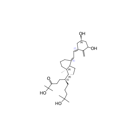 C=C1/C(=C\C=C2/CCC[C@@]3(C)C2CC[C@@H]3[C@@H](CCCC(C)(C)O)CCC(=O)C(C)(C)O)C[C@@H](O)CC1O